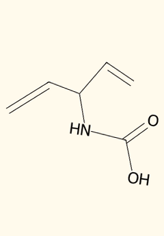 C=CC(C=C)NC(=O)O